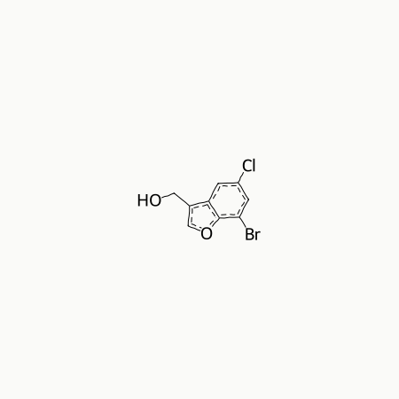 OCc1coc2c(Br)cc(Cl)cc12